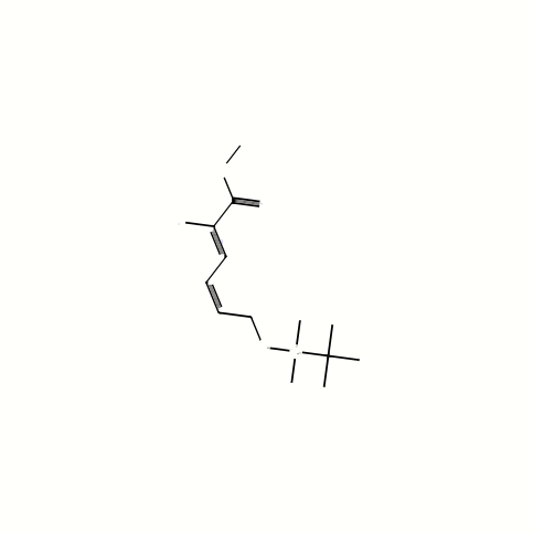 COC(=O)/C(Br)=C/C=C\CO[Si](C)(C)C(C)(C)C